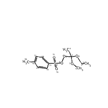 CCOC(C)(OC)OOS(=O)(=O)c1ccc(C)cc1